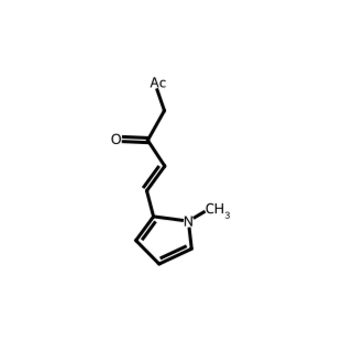 CC(=O)CC(=O)C=Cc1cccn1C